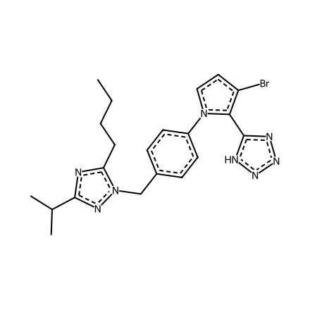 CCCCc1nc(C(C)C)nn1Cc1ccc(-n2ccc(Br)c2-c2nnn[nH]2)cc1